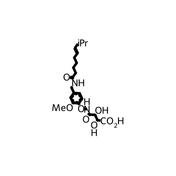 COc1cc(CNC(=O)CCCC/C=C/C(C)C)ccc1ONC(=O)C(O)C(O)C(=O)O